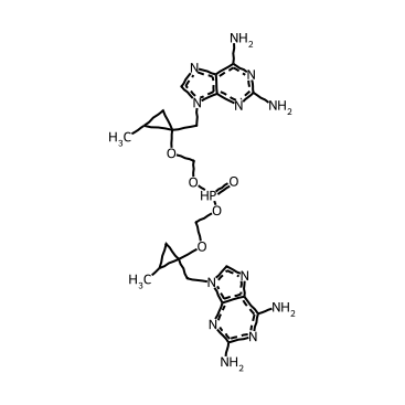 CC1CC1(Cn1cnc2c(N)nc(N)nc21)OCO[PH](=O)OCOC1(Cn2cnc3c(N)nc(N)nc32)CC1C